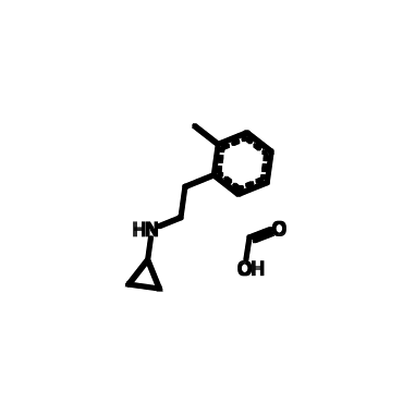 Cc1ccccc1CCNC1CC1.O=CO